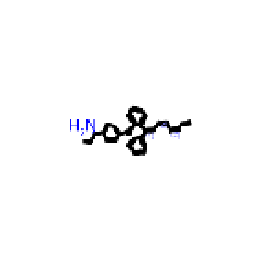 C=C\C=C/C=C\C=C(\c1ccccc1)c1ccccc1C(=C)c1ccc(C(N)CC)cc1